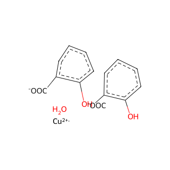 O.O=C([O-])c1ccccc1O.O=C([O-])c1ccccc1O.[Cu+2]